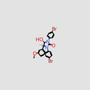 COc1cccc([C@@]2(C)C(O)N(c3ccc(Br)cc3)C(=O)N2c2ccc(Br)cc2)c1